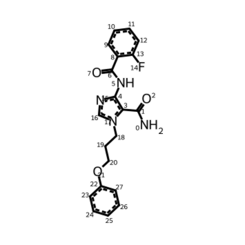 NC(=O)c1c(NC(=O)c2ccccc2F)ncn1CCCOc1ccccc1